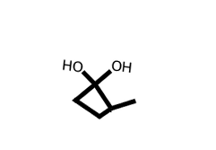 C[C]1CCC1(O)O